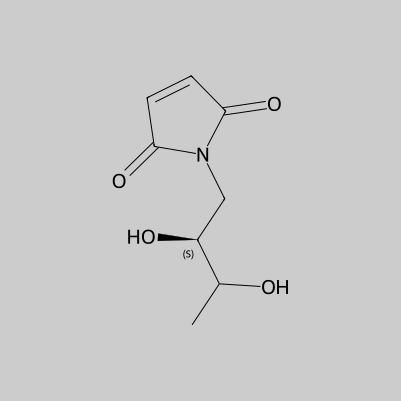 CC(O)[C@@H](O)CN1C(=O)C=CC1=O